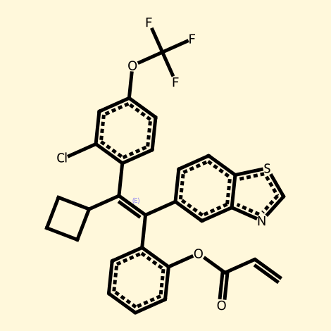 C=CC(=O)Oc1ccccc1/C(=C(/c1ccc(OC(F)(F)F)cc1Cl)C1CCC1)c1ccc2scnc2c1